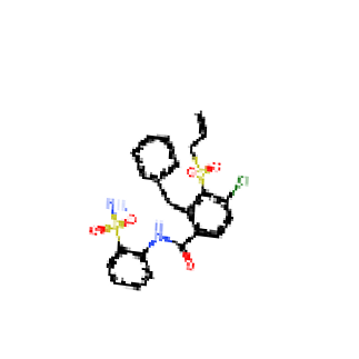 C=CCS(=O)(=O)c1c(Cl)ccc(C(=O)Nc2ccccc2S(N)(=O)=O)c1Cc1ccccc1